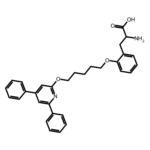 NC(Cc1ccccc1OCCCCCOc1cc(-c2ccccc2)cc(-c2ccccc2)n1)C(=O)O